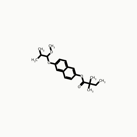 CCC(C)(C)C(=O)Oc1ccc2cc(OC(OC)C(C)C)ccc2c1